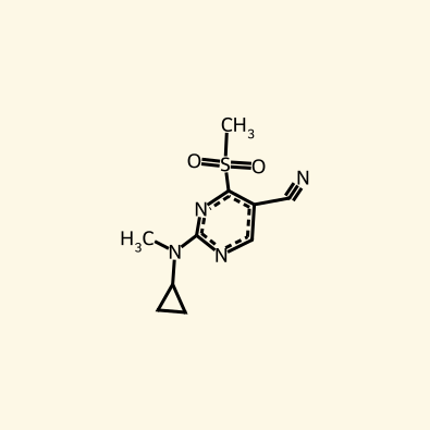 CN(c1ncc(C#N)c(S(C)(=O)=O)n1)C1CC1